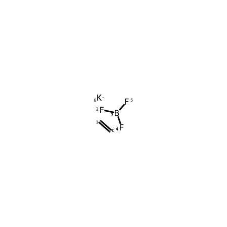 C=C.FB(F)F.[K]